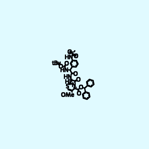 COC1=CS[C@H]2[C@H](NC(=O)C(NC(=O)OC(C)(C)C)c3cccc(NS(C)(=O)=O)c3)C(=O)N2[C@H]1C(=O)OC(c1ccccc1)c1ccccc1